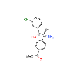 COC(=O)c1ccc([C@](N)(C(C)C)[C@H](O)c2cccc(Cl)c2)cc1